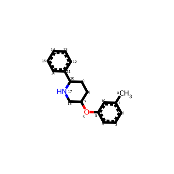 Cc1cccc(OC2CCC(c3[c]cccc3)NC2)c1